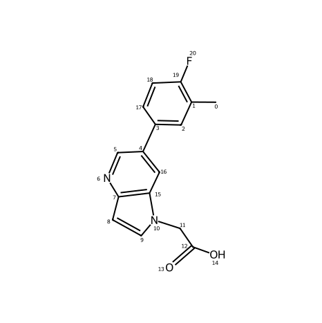 Cc1cc(-c2cnc3ccn(CC(=O)O)c3c2)ccc1F